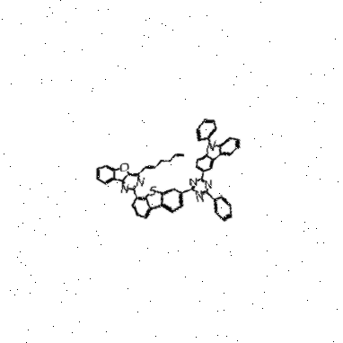 C=CCC/C=C/c1nc(-c2cccc3c2sc2cc(-c4nc(-c5ccccc5)nc(-c5ccc6c(c5)c5ccccc5n6-c5ccccc5)n4)ccc23)nc2c1oc1ccccc12